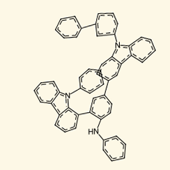 c1ccc(Nc2ccc(-c3ccc4c(c3)c3ccccc3n4-c3cccc(-c4ccccc4)c3)cc2-c2cccc3c4ccccc4n(-c4ccccc4)c23)cc1